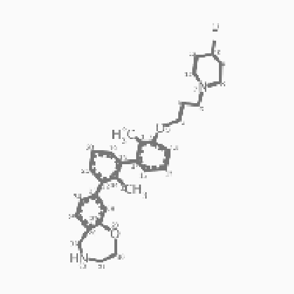 Cc1c(OCCCN2CCC(F)CC2)cccc1-c1cccc(-c2ccc3c(c2)OCCNC3)c1C